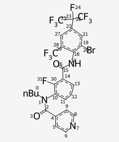 CCCCN(C(=O)c1ccncc1)c1cccc(C(=O)Nc2c(Br)cc(C(F)(C(F)(F)F)C(F)(F)F)cc2C(F)(F)F)c1F